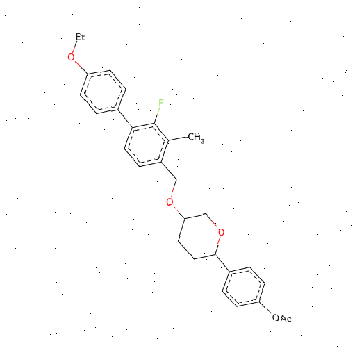 CCOc1ccc(-c2ccc(COC3CCC(c4ccc(OC(C)=O)cc4)OC3)c(C)c2F)cc1